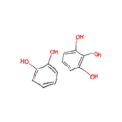 Oc1cccc(O)c1O.Oc1ccccc1O